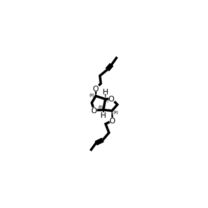 CC#CCCO[C@@H]1CO[C@H]2[C@@H]1OC[C@H]2OCCC#CC